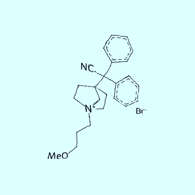 COCCC[N+]12CCC(C(C#N)(c3ccccc3)c3ccccc3)(CC1)C2.[Br-]